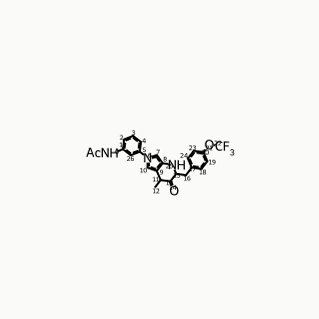 CC(=O)Nc1cccc(-n2cc3c(c2)C(C)C(=O)C(Cc2ccc(OC(F)(F)F)cc2)N3)c1